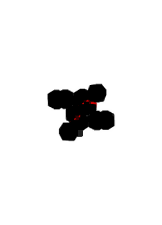 c1ccc(N(c2ccc3ccccc3c2)c2ccc3c(c2)sc2ccccc23)c(-c2ccccc2N(c2ccc3ccccc3c2)c2ccc3c(c2)sc2ccccc23)c1